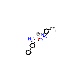 CC(C)n1c(NC(=O)CC(N)c2ccc(-c3ccccc3)cc2)nc2cc(C(F)(F)F)ccc21